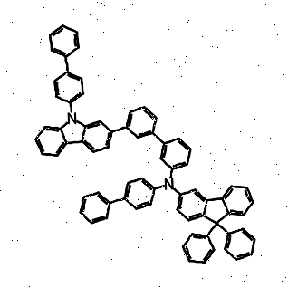 c1ccc(-c2ccc(N(c3cccc(-c4cccc(-c5ccc6c7ccccc7n(-c7ccc(-c8ccccc8)cc7)c6c5)c4)c3)c3ccc4c(c3)-c3ccccc3C4(c3ccccc3)c3ccccc3)cc2)cc1